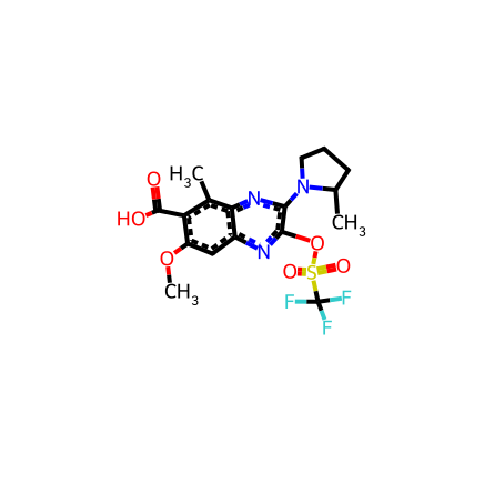 COc1cc2nc(OS(=O)(=O)C(F)(F)F)c(N3CCCC3C)nc2c(C)c1C(=O)O